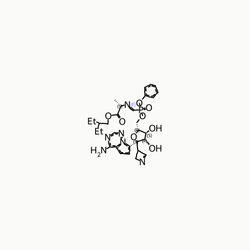 CCC(CC)COC(=O)[C@H](C)/N=C/P(=O)(OC[C@H]1O[C@](c2ccc3c(N)ncnn23)(C2C=NC2)[C@H](O)[C@@H]1O)Oc1ccccc1